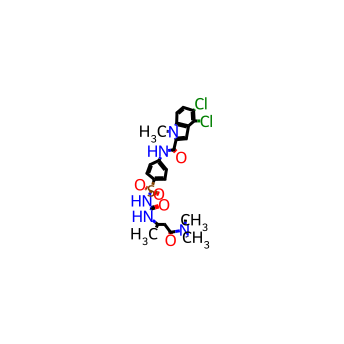 CC(CC(=O)N(C)C)NC(=O)NS(=O)(=O)c1ccc(NC(=O)c2cc3c(Cl)c(Cl)ccc3n2C)cc1